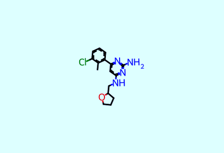 Cc1c(Cl)cccc1-c1cc(NCC2CCCO2)nc(N)n1